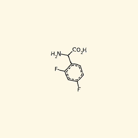 NC(C(=O)O)c1ccc(F)cc1F